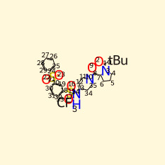 CC(C)(C)C(=O)N1CCC[C@H]1C(=O)N1CCC(NS(=O)(=O)c2cc(S(=O)(=O)c3ccccc3)ccc2C(F)(F)F)CC1